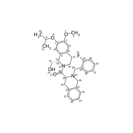 COc1cc2c(cc1OC(C)C)[C@@H](CO)N(C(=O)C1Cc3ccccc3CN1Cc1ccccc1F)CC2